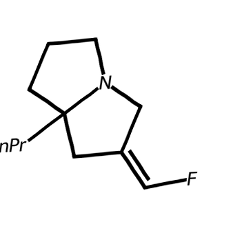 CCCC12CCCN1C/C(=C\F)C2